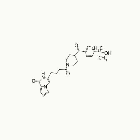 CC(C)(O)c1ccc(C(=O)C2CCN(C(=O)CCCc3cn4cccc4c(=O)[nH]3)CC2)cc1